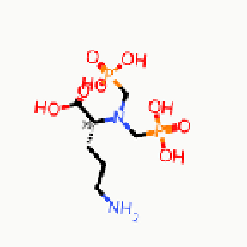 NCCC[C@H](C(=O)O)N(CP(=O)(O)O)CP(=O)(O)O